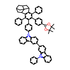 CC1(C)OB(c2ccc(-c3c(-c4ccc(-n5c6ccccc6c6cc(-c7ccc8c9ccccc9n(-c9ccccc9)c8c7)ccc65)cc4)c(-c4ccccc4)c4c(c3-c3ccccc3)C3CC5CC(C3)CC4C5)cc2)OC1(C)C